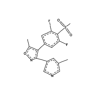 Cc1cncc(-c2noc(C)c2-c2cc(F)c(S(C)(=O)=O)c(F)c2)c1